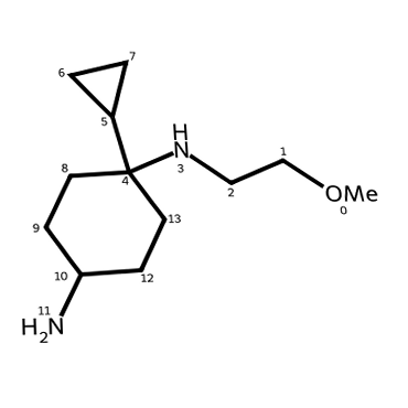 COCCNC1(C2CC2)CCC(N)CC1